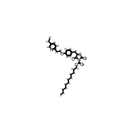 CCCCCCCCCCCCOC(=O)N1C(=O)SC(Cc2ccc(OCCc3ccc(CC)cn3)cc2)C1=O